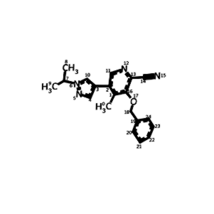 Cc1c(-c2cnn(C(C)C)c2)cnc(C#N)c1OCc1ccccc1